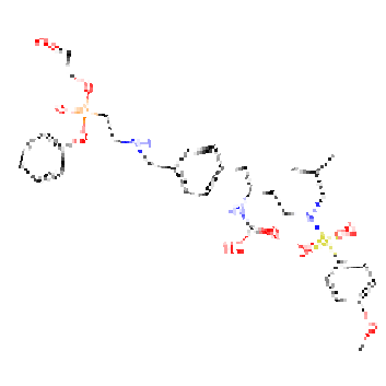 COc1ccc(S(=O)(=O)N(CC[C@H](Cc2ccc(CNCCP(=O)(OCC=O)Oc3ccccc3)cc2)NC(=O)O)CC(C)C)cc1